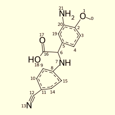 COc1ccc(C(Nc2ccc(C#N)cc2)C(=O)O)cc1N